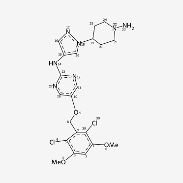 COc1cc(OC)c(Cl)c(COc2cnc(Nc3cnn(C4CCN(N)CC4)c3)nc2)c1Cl